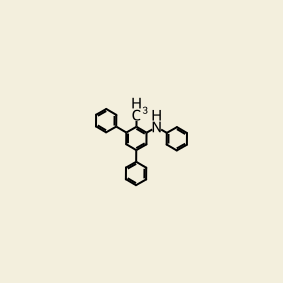 Cc1c(Nc2ccccc2)cc(-c2ccccc2)cc1-c1ccccc1